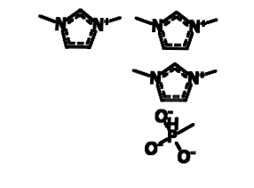 C[PH]([O-])([O-])[O-].Cn1cc[n+](C)c1.Cn1cc[n+](C)c1.Cn1cc[n+](C)c1